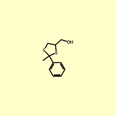 CC1(c2ccccc2)SCC(CO)S1